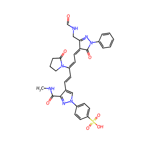 CNC(=O)c1nn(-c2ccc(S(=O)(=O)O)cc2)cc1/C=C/C(=C/C=C1\C(=O)N(c2ccccc2)N=C1CNC=O)N1CCCC1=O